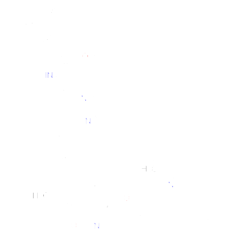 Cc1onc(OC[C@H]2CCCCN2C)c1-c1ccn2nc(NC(=O)C3CC3)cc2c1